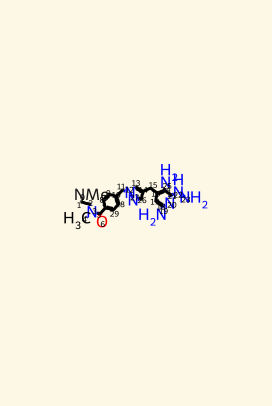 CNCCN(C)C(=O)c1ccc(Cn2cc(Cc3cc(N)nc(NN)c3N)cn2)cc1